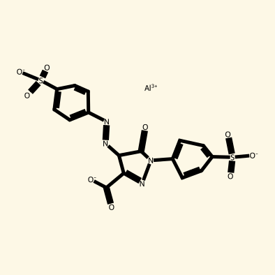 O=C([O-])C1=NN(c2ccc(S(=O)(=O)[O-])cc2)C(=O)C1N=Nc1ccc(S(=O)(=O)[O-])cc1.[Al+3]